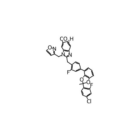 CC1(c2ccc(Cl)cc2F)Oc2cccc(-c3ccc(Cc4nc5ccc(C(=O)O)cc5n4Cc4ccon4)c(F)c3)c2O1